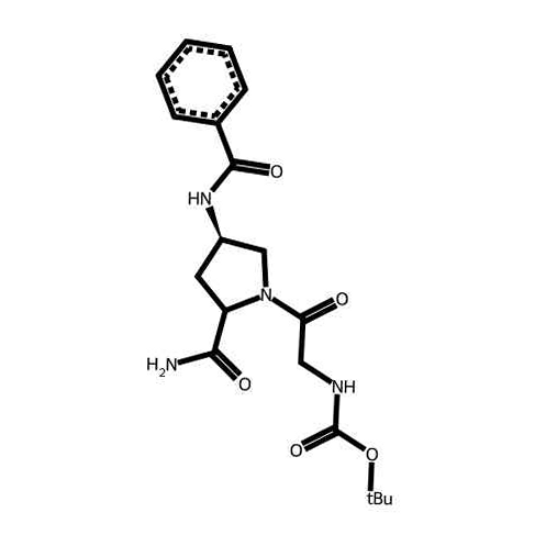 CC(C)(C)OC(=O)NCC(=O)N1C[C@H](NC(=O)c2ccccc2)CC1C(N)=O